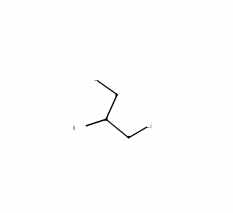 CC(C)CC(CCl)C(C)C